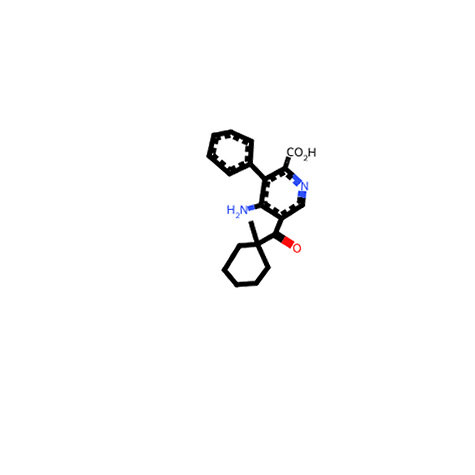 CC1(C(=O)c2cnc(C(=O)O)c(-c3ccccc3)c2N)CCCCC1